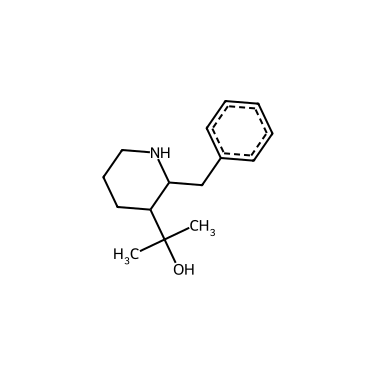 CC(C)(O)C1CCCNC1Cc1ccccc1